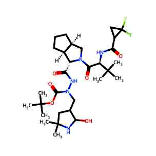 CC1(C)CC(CN(NC(=O)[C@@H]2[C@H]3CCC[C@H]3CN2C(=O)[C@@H](NC(=O)C2CC2(F)F)C(C)(C)C)C(=O)OC(C)(C)C)C(O)N1